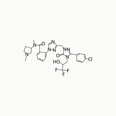 CN1CCC(N(C)C(=O)c2ccccc2-n2cnc(Cn3nc(-c4ccc(Cl)cc4)n(CC(O)C(F)(F)F)c3=O)n2)C1